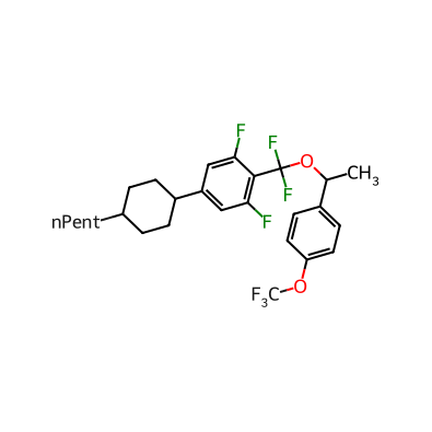 CCCCCC1CCC(c2cc(F)c(C(F)(F)OC(C)c3ccc(OC(F)(F)F)cc3)c(F)c2)CC1